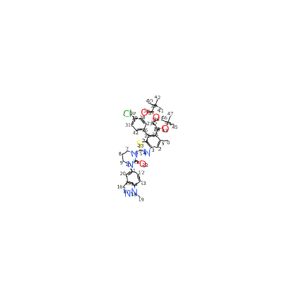 Cc1cc2nc(N3CCCN(c4ccc5c(cnn5C)c4)C3=O)sc2c(-c2ccc(Cl)cc2)c1[C@@H](COC(=O)C(C)(C)C)OC(C)(C)C